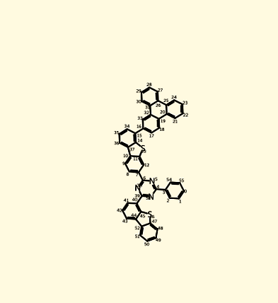 c1ccc(-c2nc(-c3ccc4c(c3)sc3c(-c5ccc6c7ccccc7c7ccccc7c6c5)cccc34)nc(-c3cccc4c3sc3ccccc34)n2)cc1